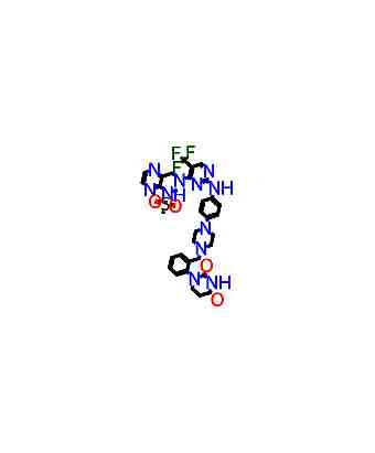 CN(c1nccnc1CNc1nc(Nc2ccc(N3CCN(Cc4ccccc4N4CCC(=O)NC4=O)CC3)cc2)ncc1C(F)(F)F)S(C)(=O)=O